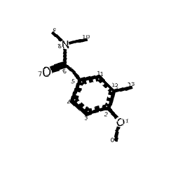 COc1ccc(C(=O)N(C)C)cc1C